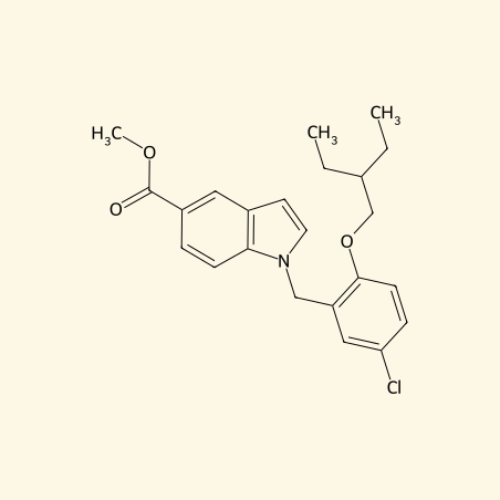 CCC(CC)COc1ccc(Cl)cc1Cn1ccc2cc(C(=O)OC)ccc21